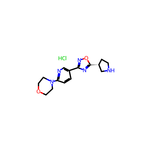 Cl.c1cc(N2CCOCC2)ncc1-c1noc([C@@H]2CCNC2)n1